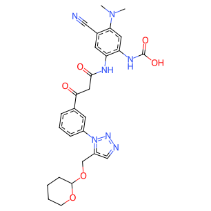 CN(C)c1cc(NC(=O)O)c(NC(=O)CC(=O)c2cccc(-n3nncc3COC3CCCCO3)c2)cc1C#N